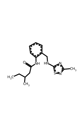 CCC(C)CC(=O)Nc1ccccc1CNc1nc(C)ns1